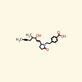 CC#CCC(C)C(O)/C=C/C1CCC(=O)N1CCc1ccc(C(=O)O)cc1